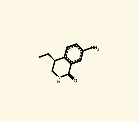 CC[C@@H]1CNC(=O)c2cc(N)ccc21